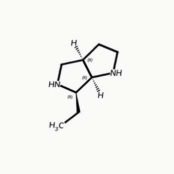 CC[C@H]1NC[C@H]2CCN[C@H]21